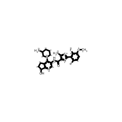 COc1ccc(F)c(-c2nc(C(=O)Nc3cnc4c(c3N3CCCC(N)C3)CCC4O)c(N)s2)c1F